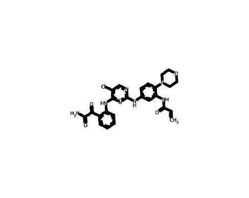 C=CC(=O)Nc1cc(Nc2ncc(Cl)c(Nc3ccccc3C(=O)C(N)=O)n2)ccc1N1CCOCC1